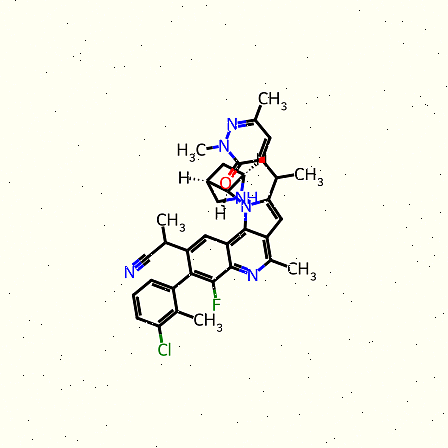 Cc1cc(C(C)c2cc3c(C)nc4c(F)c(-c5cccc(Cl)c5C)c(C(C)C#N)cc4c3n2[C@H]2[C@H]3CN[C@@H]2C3)c(=O)n(C)n1